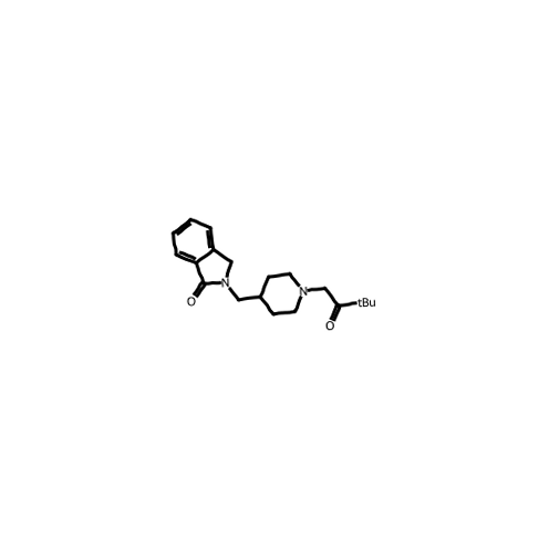 CC(C)(C)C(=O)CN1CCC(CN2Cc3ccccc3C2=O)CC1